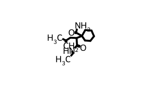 C=C(C)CC(C(=O)NCC)C1(C(N)=O)CCCCC1